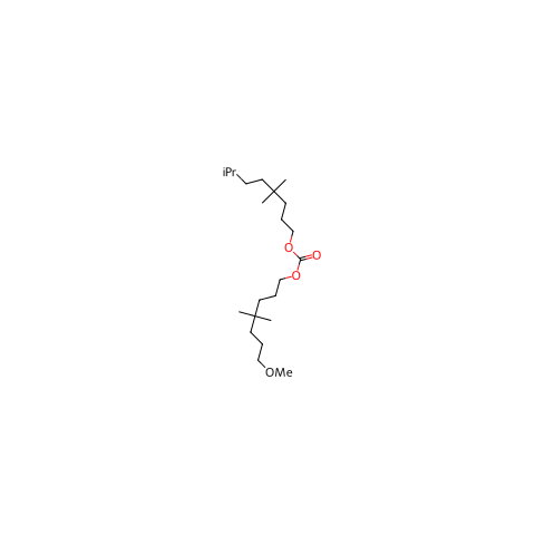 COCCCC(C)(C)CCCOC(=O)OCCCC(C)(C)CCC(C)C